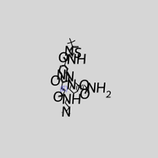 CN(C)CCNC(=O)/C=C/c1c(N2CCC[C@@H](OC(N)=O)C2)nc2cc(C(=O)Nc3nc(C(C)(C)C)cs3)ccn2c1=O